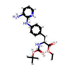 CCOC(=O)[C@H](Cc1ccc(Nc2ncccc2N)cc1)NC(=O)OC(C)(C)C